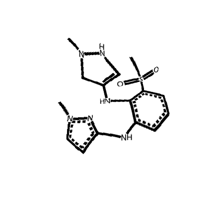 CN1CC(Nc2c(Nc3ccn(C)n3)cccc2S(C)(=O)=O)=CN1